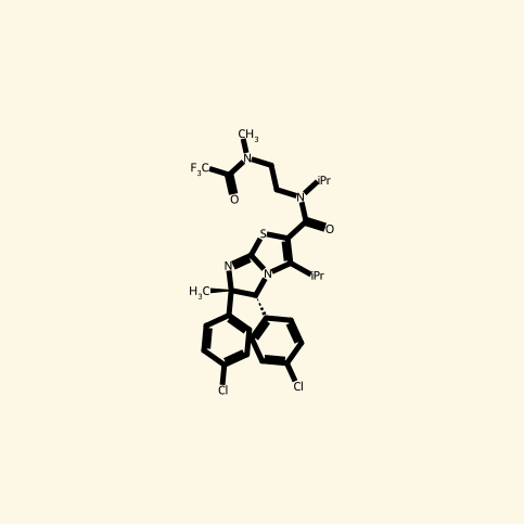 CC(C)C1=C(C(=O)N(CCN(C)C(=O)C(F)(F)F)C(C)C)SC2=N[C@@](C)(c3ccc(Cl)cc3)[C@@H](c3ccc(Cl)cc3)N21